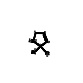 CCC1(CC)C=CCN1